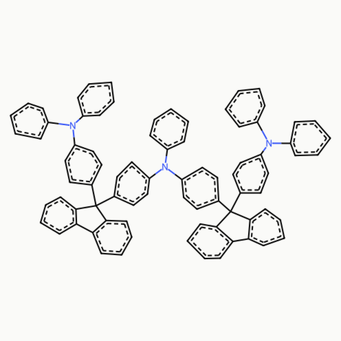 c1ccc(N(c2ccccc2)c2ccc(C3(c4ccc(N(c5ccccc5)c5ccc(C6(c7ccc(N(c8ccccc8)c8ccccc8)cc7)c7ccccc7-c7ccccc76)cc5)cc4)c4ccccc4-c4ccccc43)cc2)cc1